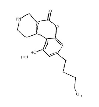 CCCCCc1cc(O)c2c3c(c(=O)oc2c1)CNCC3.Cl